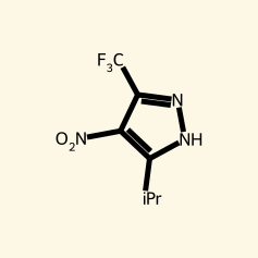 CC(C)c1[nH]nc(C(F)(F)F)c1[N+](=O)[O-]